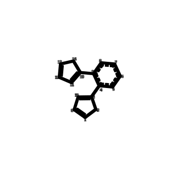 C1=CCC(c2ccccc2C2=CC=CC2)=C1